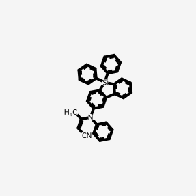 C/C(=C/C#N)N(c1ccccc1)c1ccc2c(c1)-c1ccccc1[Si]2(c1ccccc1)c1ccccc1